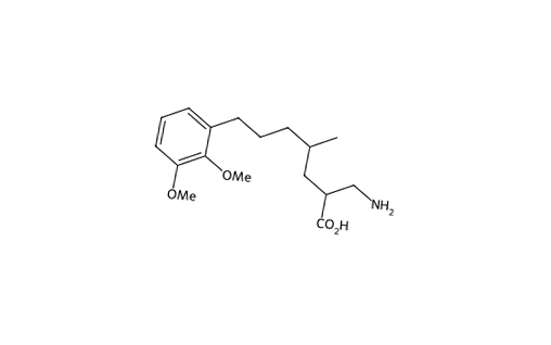 COc1cccc(CCCC(C)CC(CN)C(=O)O)c1OC